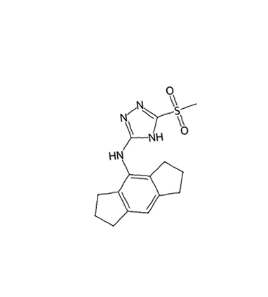 CS(=O)(=O)c1nnc(Nc2c3c(cc4c2CCC4)CCC3)[nH]1